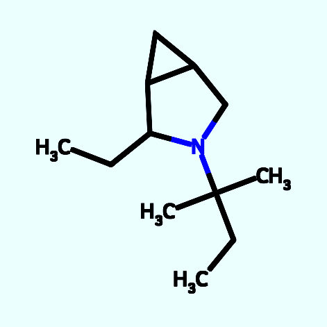 CCC1C2CC2CN1C(C)(C)CC